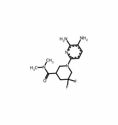 CN(C)C(=O)C1CN(c2ccc(N)c(N)n2)CC(F)(F)C1